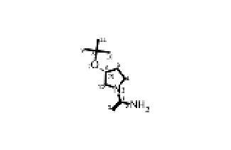 C=C(N)N1CC[C@@H](OC(C)(C)C)C1